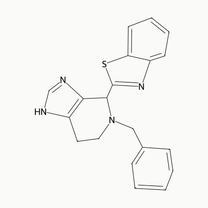 c1ccc(CN2CCc3[nH]cnc3C2c2nc3ccccc3s2)cc1